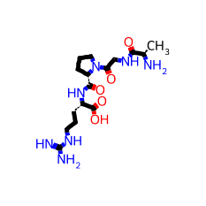 C[C@H](N)C(=O)NCC(=O)N1CCC[C@H]1C(=O)N[C@@H](CCCNC(=N)N)C(=O)O